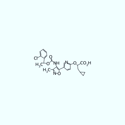 Cc1noc(-c2ccc(OC(CC3CC3)C(=O)O)nc2)c1NC(=O)OC(C)c1ccccc1Cl